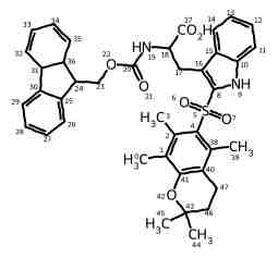 Cc1c(C)c(S(=O)(=O)c2[nH]c3ccccc3c2CC(NC(=O)OCC2c3ccccc3C3C=CC=CC32)C(=O)O)c(C)c2c1OC(C)(C)CC2